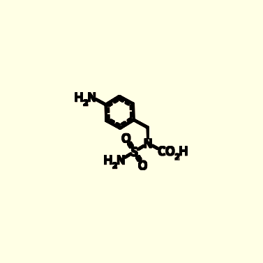 Nc1ccc(CN(C(=O)O)S(N)(=O)=O)cc1